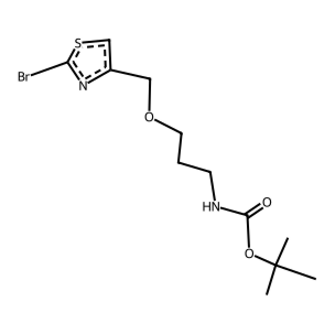 CC(C)(C)OC(=O)NCCCOCc1csc(Br)n1